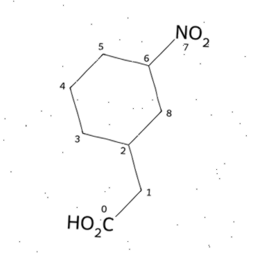 O=C(O)CC1CCCC([N+](=O)[O-])C1